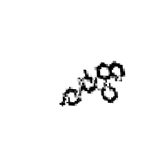 Cc1nc([C@H]2CCCCN2[C@@H]2CCCc3cccnc32)cc(N2CCN(C)CC2)n1